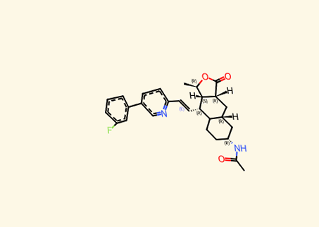 CC(=O)N[C@@H]1CCC2[C@@H](C1)C[C@H]1C(=O)O[C@H](C)[C@H]1[C@H]2/C=C/c1ccc(-c2cccc(F)c2)cn1